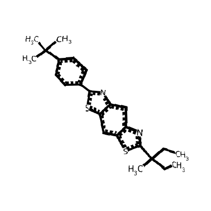 CCC(C)(CC)c1nc2cc3nc(-c4ccc(C(C)(C)C)cc4)sc3cc2s1